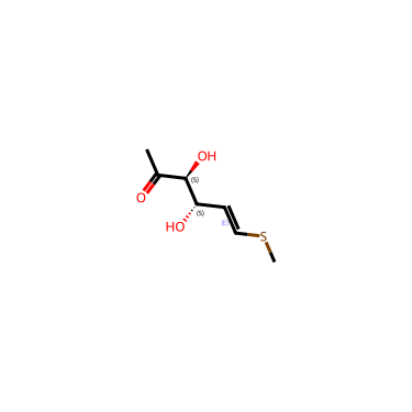 CS/C=C/[C@H](O)[C@H](O)C(C)=O